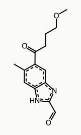 COCCCC(=O)c1cc2nc(C=O)[nH]c2cc1C